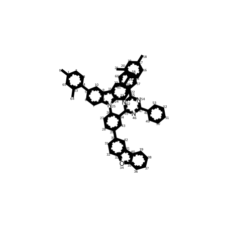 Cc1ccc(-c2ccc3c(c2)c2cc(-c4ccc(C)cc4C)ccc2n3-c2ccc(-c3ccc4oc5ccccc5c4c3)cc2-c2nc(-c3ccccc3)nc(-c3ccccc3)n2)c(C)c1